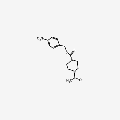 C[S+]([O-])N1CCN(C(=S)SCc2ccc([N+](=O)[O-])cc2)CC1